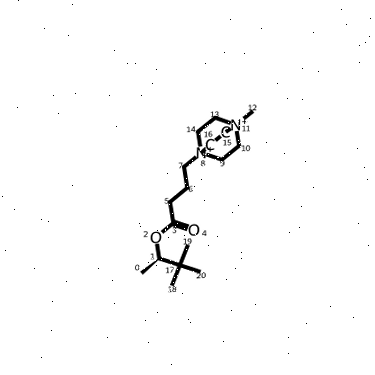 C[C@@H](OC(=O)CCC[N+]12CC[N+](C)(CC1)CC2)C(C)(C)C